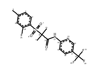 Cc1ccc(S(=O)(=O)C(C)(C)C(=O)Nc2ccc(C(F)(F)F)cn2)c(F)c1